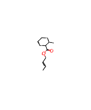 C/C=C/COC(=O)C1CCCCC1C